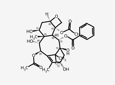 CC(=O)O[C@@H]1C2=C(C)[C@@H](O)C[C@@](O)([C@@H](OC(=O)c3ccccc3)[C@@H]3[C@]4(OC(C)=O)CO[C@@H]4C[C@H](O)[C@@]3(C)[C@H]1O)C2(C)C